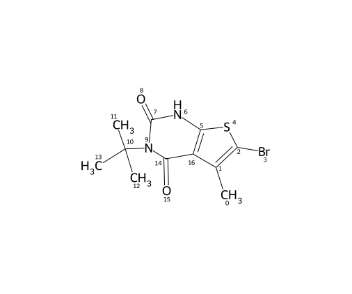 Cc1c(Br)sc2[nH]c(=O)n(C(C)(C)C)c(=O)c12